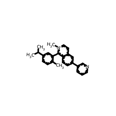 Cc1ccc(C(C)C)cc1-c1c2ccc(-c3cccnc3)cc2cc[n+]1C